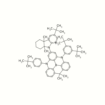 CC(C)(C)c1ccc(N2c3cc(N4c5ccc(C(C)(C)C)cc5C5(C)CCCCC45C)cc4c3B3c5c2cccc5C(C)(C)c2cccc(c23)N4c2cc(C(C)(C)C)cc(C(C)(C)C)c2)cc1